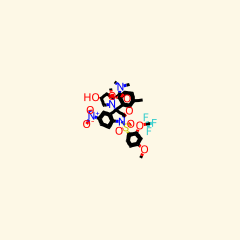 COc1ccc(S(=O)(=O)N2C(=O)C(c3cc(C)ccc3OC)(N3C[C@H](O)C[C@H]3C(=O)N(C)C)c3cc([N+](=O)[O-])ccc32)c(OC(F)(F)F)c1